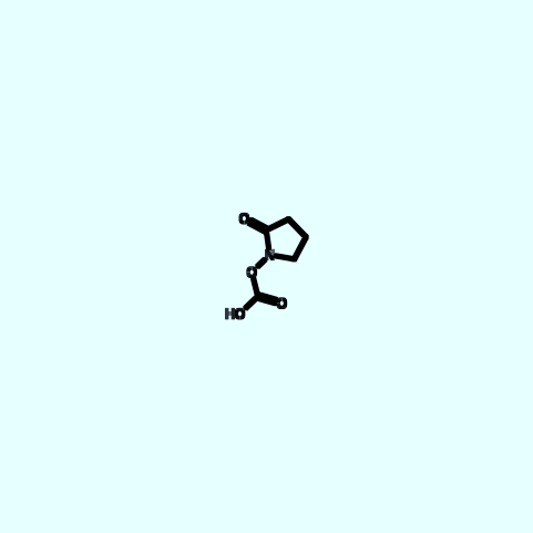 O=C(O)ON1CCCC1=O